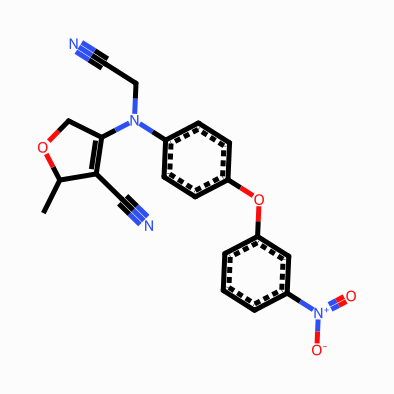 CC1OCC(N(CC#N)c2ccc(Oc3cccc([N+](=O)[O-])c3)cc2)=C1C#N